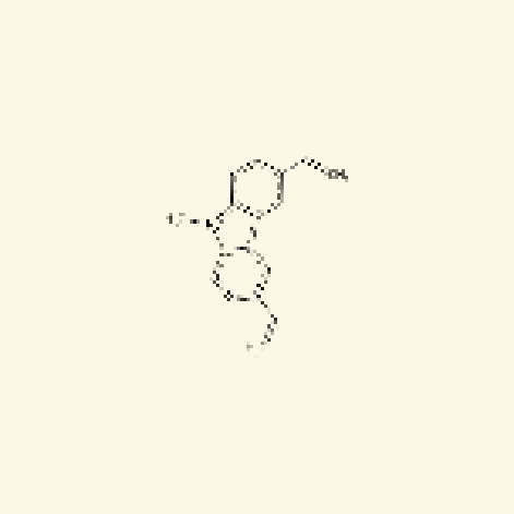 C=Cc1ccc2c(c1)c1cc(C=C)ccc1n2C